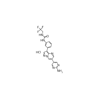 Cl.Nc1ncc(-c2cnc3c(-c4cccc(NC(=O)NCC(F)(F)F)c4)cnn3c2)cn1